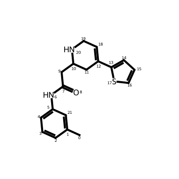 Cc1cccc(NC(=O)CC2CC(c3cccs3)=CCN2)c1